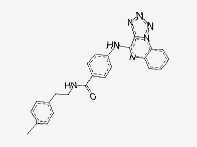 Cc1ccc(CCNC(=O)c2ccc(Nc3nc4ccccc4n4nnnc34)cc2)cc1